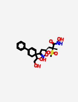 C[C@@](C[C@H]1CC(C2([C@@H](O)CO)C=CC(c3ccccc3)=CC2)=NO1)(C(=O)NO)S(C)(=O)=O